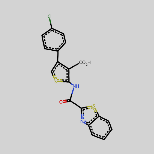 O=C(Nc1scc(-c2ccc(Cl)cc2)c1C(=O)O)c1nc2ccccc2s1